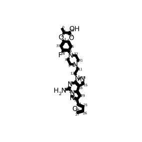 CC(Oc1ccc(N2CCN(CCn3ncc4c3nc(N)n3nc(-c5ccco5)cc43)CC2)c(F)c1)C(=O)O